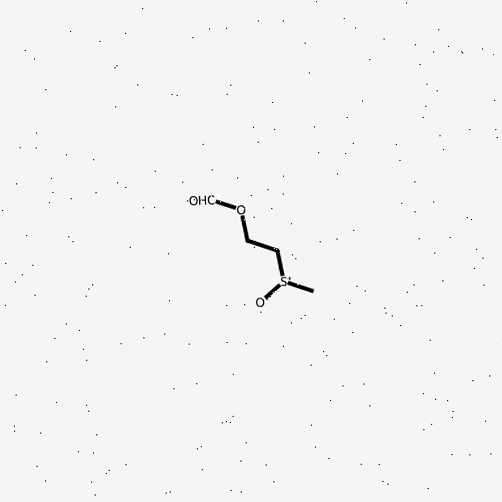 C[S+]([O-])CCO[C]=O